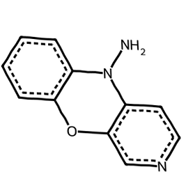 NN1c2ccccc2Oc2cnccc21